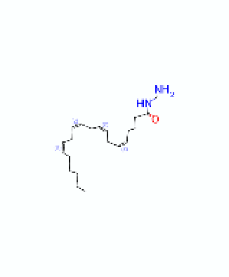 CCCCC/C=C\C/C=C\C/C=C\C/C=C\CCCC(=O)NCN